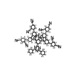 N#Cc1ccc(-c2ccc3c(c2)c2cc(-c4ccc(C#N)cc4C#N)ccc2n3-c2cc(-c3nc(-c4ccccc4)nc(-c4ccccc4)n3)cc(-n3c4ccc(-c5ccc(C#N)cc5C#N)cc4c4cc(-c5ccc(C#N)cc5C#N)ccc43)c2C(F)(F)F)c(C#N)c1